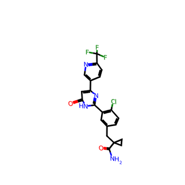 NC(=O)C1(Cc2ccc(Cl)c(-c3nc(-c4ccc(C(F)(F)F)nc4)cc(=O)[nH]3)c2)CC1